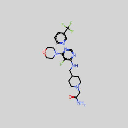 NC(=O)CN1CCC(CNc2ncnc(N3CCOC[C@@H]3c3ccc(C(F)(F)F)cn3)c2F)CC1